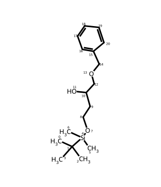 CC(C)(C)[Si](C)(C)OCCC(O)COCc1ccccc1